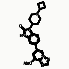 COc1cc(-c2ccc3c(c2)[nH]c(=O)n3C2CCN(C3CCC3)CC2)cn2ncnc12